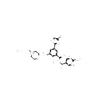 CCc1cnc(-c2cc(OC[C@H]3CN(C(=O)O)CCO3)cc(C(=O)N[C@H](C)c3cnc(C(F)(F)F)nc3)c2)s1